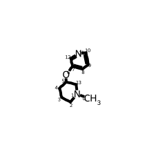 CN1CCCC(Oc2cccnc2)C1